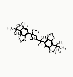 Cc1cc(C(C)(C)CCC(C)(C)c2cc(C)c(C(C)(C)C)c3snnc23)c2snnc2c1C(C)(C)C